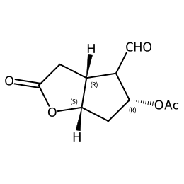 CC(=O)O[C@@H]1C[C@@H]2OC(=O)C[C@@H]2C1C=O